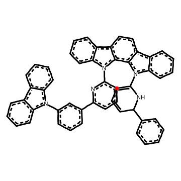 C1=CC(c2ccccc2)NC(n2c3ccccc3c3ccc4c5ccccc5n(-c5cccc(-c6cccc(-n7c8ccccc8c8ccccc87)c6)n5)c4c32)=C1